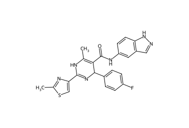 CC1=C(C(=O)Nc2ccc3[nH]ncc3c2)C(c2ccc(F)cc2)N=C(c2csc(C)n2)N1